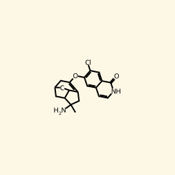 CC1(N)CC2=C(Oc3cc4cc[nH]c(=O)c4cc3Cl)CC3CC2C1C3